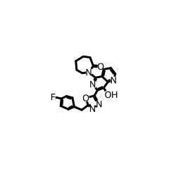 O=C1CCCCCN1c1nc(-c2nnc(Cc3ccc(F)cc3)o2)c(O)c2ncccc12